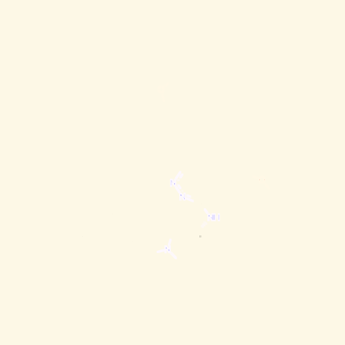 COc1ccc(-c2nnc(N[C@@H]3CCN(Cc4ccc5ccccc5c4)C3)c3cc(OC)ccc23)cc1.Cl.Cl